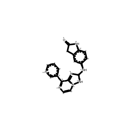 O=C1Cc2cc(NC3N=C4C(c5cccnc5)=NC=CN4N3)ccc2N1